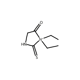 CC[N+]1(CC)C(=O)CNC1=S